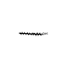 C=CCCCCCCCCCC=CCCCCCCCCCCCCCCC